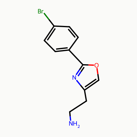 NCCc1coc(-c2ccc(Br)cc2)n1